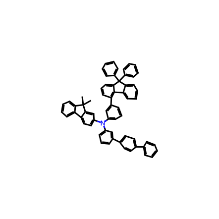 CC1(C)c2ccccc2-c2ccc(N(c3cccc(-c4ccc(-c5ccccc5)cc4)c3)c3cccc(-c4cccc5c4-c4ccccc4C5(c4ccccc4)c4ccccc4)c3)cc21